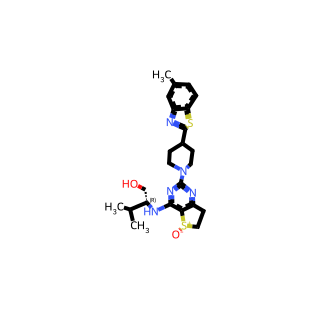 Cc1ccc2sc(C3CCN(c4nc5c(c(N[C@@H](CO)C(C)C)n4)[S+]([O-])CC5)CC3)nc2c1